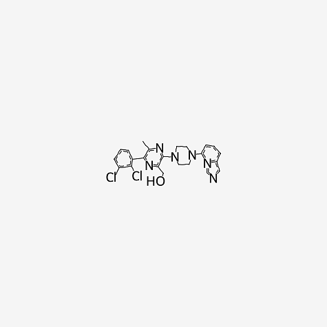 Cc1nc(N2CCN(c3cccc4cncn34)CC2)c(CO)nc1-c1cccc(Cl)c1Cl